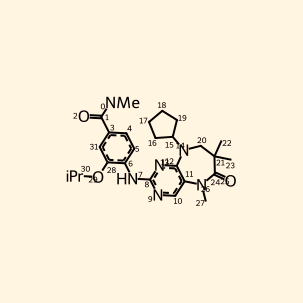 CNC(=O)c1ccc(Nc2ncc3c(n2)N(C2CCCC2)CC(C)(C)C(=O)N3C)c(OC(C)C)c1